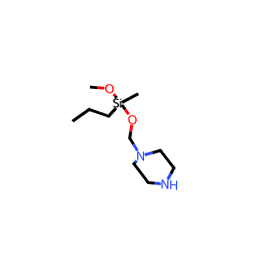 CCC[Si](C)(OC)OCN1CCNCC1